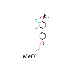 CCOc1ccc(-c2ccc(OCCCCOC)cc2)c(F)c1F